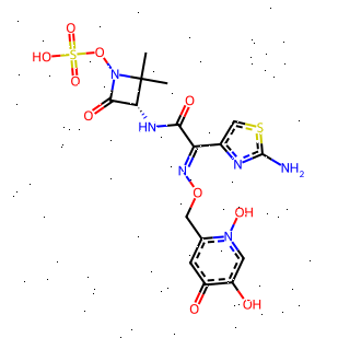 CC1(C)[C@H](NC(=O)/C(=N/OCc2cc(=O)c(O)cn2O)c2csc(N)n2)C(=O)N1OS(=O)(=O)O